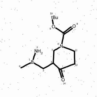 CB(N)CC1CN(C(=O)OC(C)(C)C)CCC1=O